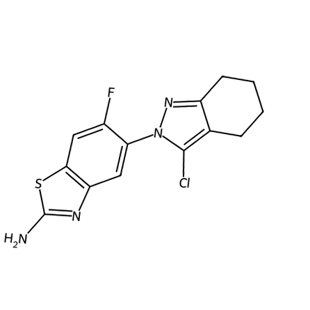 Nc1nc2cc(-n3nc4c(c3Cl)CCCC4)c(F)cc2s1